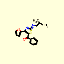 CC(C)CNc1nc(-c2ccco2)c(C(=O)c2ccccc2)s1